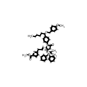 CCCCCC(OCc1ccc(OC)cc1)c1ccc(N2C(=O)C[C@@H](O[Si](c3ccccc3)(c3ccccc3)C(C)(C)C)[C@@H]2C=CCc2ccc(C(=O)OC)s2)cc1